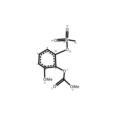 COC(=O)Oc1c(OC)cccc1OS(C)(=O)=O